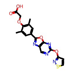 Cc1cc(-c2nc3cnc(Oc4ccsn4)nc3o2)cc(C)c1OCC(=O)O